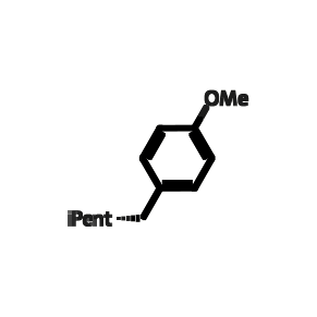 CCC[C@@H](C)Cc1ccc(OC)cc1